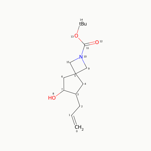 C=CCC1CC2(CC1O)CN(C(=O)OC(C)(C)C)C2